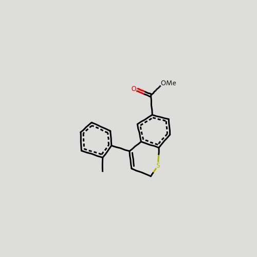 COC(=O)c1ccc2c(c1)C(c1ccccc1C)=CCS2